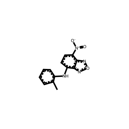 Cc1ccccc1Nc1ccc([N+](=O)[O-])c2nonc12